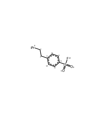 CC(C)CCc1ccc(S(=O)(=O)F)cc1